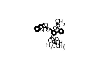 CCOC(=O)c1ccccc1-c1cc(COC2OCc3cc4ccccc4nc32)cc(N(CC)C(=O)OC(C)(C)C)c1